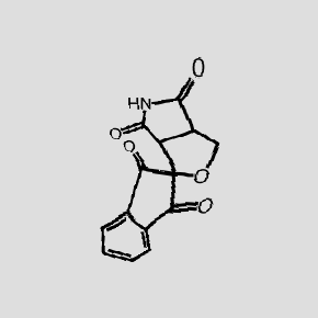 O=C1NC(=O)C2C1COC21C(=O)c2ccccc2C1=O